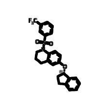 O=S(=O)(c1cccc(C(F)(F)F)c1)N1CCCc2cc(O[C@H]3CCc4ccccc43)ccc21